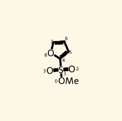 COS(=O)(=O)c1ccco1